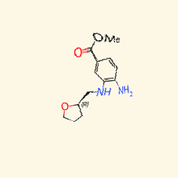 COC(=O)c1ccc(N)c(NC[C@H]2CCCO2)c1